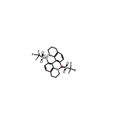 CN1CCCc2ccc(OS(=O)(=O)C(F)(F)F)c(-c3c(OS(=O)(=O)C(F)(F)F)ccc4c3N(C)CCC4)c21